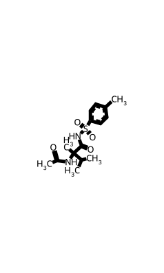 CC(=O)NC(C)(C(=O)NS(=O)(=O)c1ccc(C)cc1)C(C)C